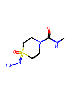 CNC(=O)N1CCS(=O)(=NN)CC1